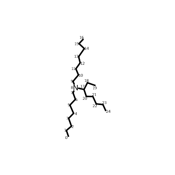 CCCCCCCCN(CCCCCCCC)C(CC)CCCCC